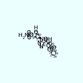 NS(=O)(=O)OC[C@H]1C[C@@H](Nc2ncncc2C(O)c2ccc(S(=O)(=O)c3ccccc3)o2)C[C@@H]1O